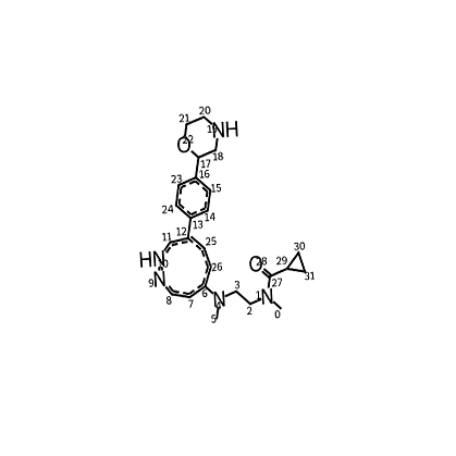 CN(CCN(C)c1ccn[nH]cc(-c2ccc(C3CNCCO3)cc2)cc1)C(=O)C1CC1